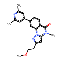 COCCc1cc2n(C)c(=O)c3ccc(-c4cc(C)nc(C)c4)cc3n2n1